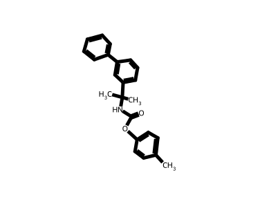 Cc1ccc(OC(=O)NC(C)(C)c2cccc(-c3ccccc3)c2)cc1